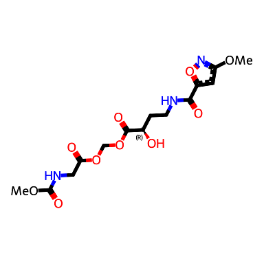 COC(=O)NCC(=O)OCOC(=O)[C@H](O)CCNC(=O)c1cc(OC)no1